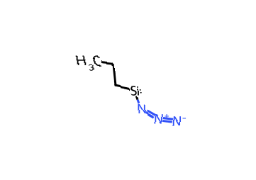 CCC[Si]N=[N+]=[N-]